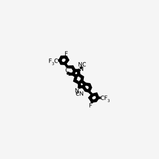 [C-]#[N+]/N=c1\c2cc(-c3cc(F)cc(C(F)(F)F)c3)ccc2c2cc3/c(=N/C#N)c4cc(-c5cc(F)cc(C(F)(F)F)c5)ccc4c3cc12